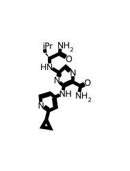 CC(C)C[C@@H](Nc1cnc(C(N)=O)c(Nc2ccnc(C3CC3)c2)n1)C(N)=O